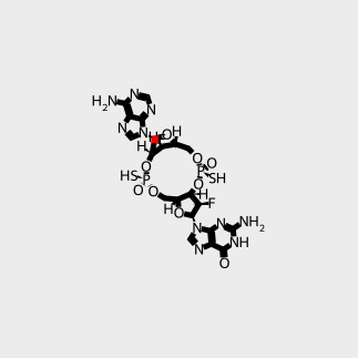 Nc1nc2c(ncn2[C@@H]2O[C@@H]3CO[P@](=O)(S)O[C@@H]4[C@H](F)[C@@H](CO[P@@](=O)(S)O[C@H]3[C@H]2F)O[C@H]4n2cnc3c(N)ncnc32)c(=O)[nH]1